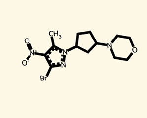 Cc1c([N+](=O)[O-])c(Br)nn1C1CCC(N2CCOCC2)C1